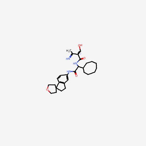 CC(=N)/C(=C\O)C(=O)NC(C(=O)Nc1ccc2c(c1)CCC21CCOCC1)C1CCCCCCC1